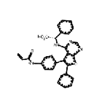 C=CC(=O)Nc1ccc(-c2c(-c3ccccc3)oc3ncnc(N[C@H](C(=O)O)c4ccccc4)c23)cc1